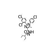 CCC(CC)C1=NNC(c2nc(-c3ccc(Cl)cc3Cl)n(-c3ccc(Cl)cc3)c2C)O1